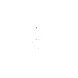 CCCNC(CC1CO1)CC1CO1